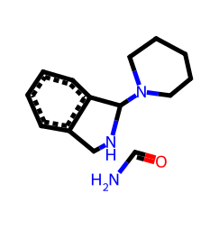 NC=O.c1ccc2c(c1)CNC2N1CCCCC1